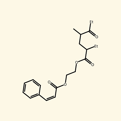 CCC(=O)C(C)CC(CC)C(=O)OCCOC(=O)/C=C\c1ccccc1